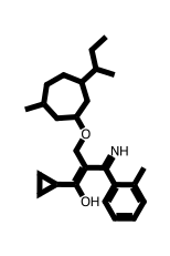 CCC(C)C1CCC(C)CC(OC/C(C(=N)c2ccccc2C)=C(/O)C2CC2)C1